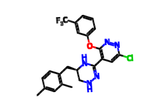 Cc1ccc(C[C@@H]2CNN=C(c3cc(Cl)nnc3Oc3cccc(C(F)(F)F)c3)N2)c(C)c1